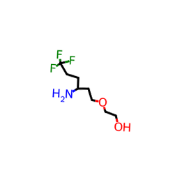 NC(CCOCCO)CCC(F)(F)F